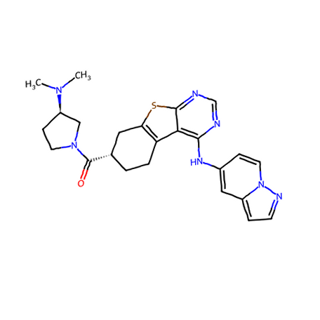 CN(C)[C@@H]1CCN(C(=O)[C@H]2CCc3c(sc4ncnc(Nc5ccn6nccc6c5)c34)C2)C1